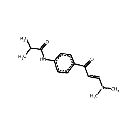 CC(C)C(=O)Nc1ccc(C(=O)/C=C/N(C)C)cc1